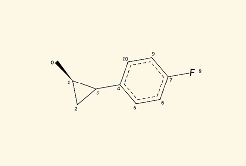 C[C@@H]1CC1c1ccc(F)cc1